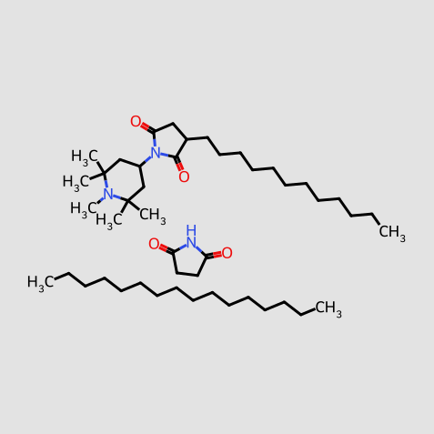 CCCCCCCCCCCCC1CC(=O)N(C2CC(C)(C)N(C)C(C)(C)C2)C1=O.CCCCCCCCCCCCCCCC.O=C1CCC(=O)N1